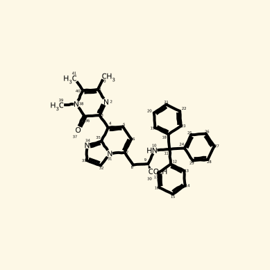 Cc1nc(-c2ccc(C[C@H](NC(c3ccccc3)(c3ccccc3)c3ccccc3)C(=O)O)n3ccnc23)c(=O)n(C)c1C